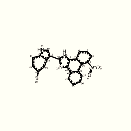 O=[N+]([O-])c1cccc2c3[nH]c(-c4c[nH]c5ccc(Br)cc45)nc3c3ccccc3c12